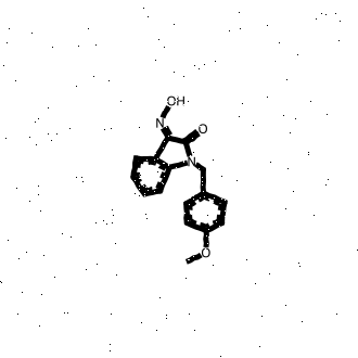 COc1ccc(CN2C(=O)/C(=N\O)c3ccccc32)cc1